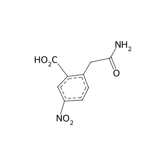 NC(=O)Cc1ccc([N+](=O)[O-])cc1C(=O)O